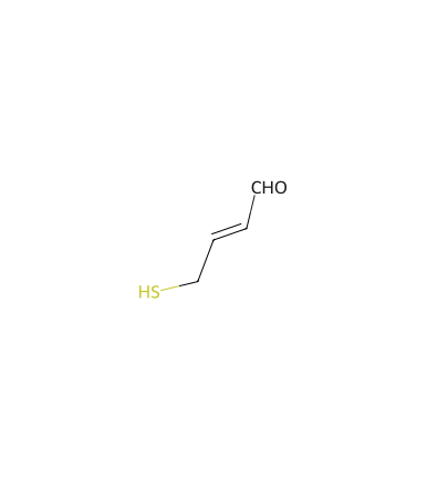 O=CC=CCS